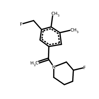 C=C(c1cc(C)c(C)c(CF)c1)N1CCCC(F)C1